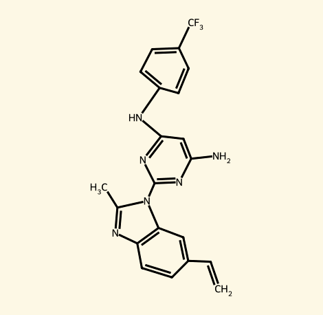 C=Cc1ccc2nc(C)n(-c3nc(N)cc(Nc4ccc(C(F)(F)F)cc4)n3)c2c1